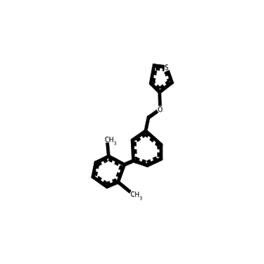 Cc1cccc(C)c1-c1cccc(COc2ccsc2)c1